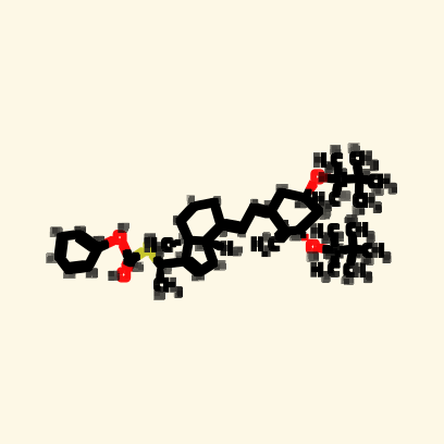 C=C1C(=CC=C2CCC[C@]3(C)C([C@@H](C)SC(=O)Oc4ccccc4)=CC[C@@H]23)C[C@@H](O[Si](C)(C)C(C)(C)C)C[C@@H]1O[Si](C)(C)C(C)(C)C